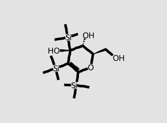 C[Si](C)(C)C1=C([Si](C)(C)C)[C@](O)([Si](C)(C)C)[C@H](O)[C@@H](CO)O1